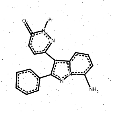 CC(C)n1nc(-c2c(-c3ccccc3)nn3c(N)cccc23)ccc1=O